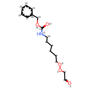 O=[C]COOCCCCCCNC(=O)OCc1ccccc1